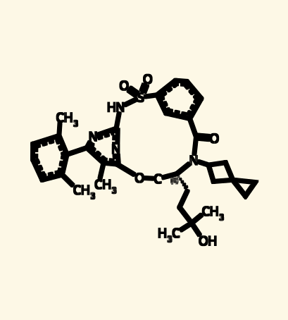 Cc1cccc(C)c1-c1nc2nc(c1C)OC[C@@H](CCC(C)(C)O)N(C1CC3(CC3)C1)C(=O)c1cccc(c1)S(=O)(=O)N2